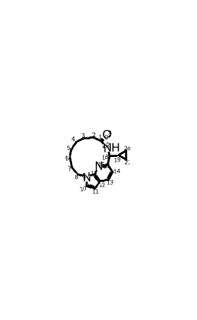 O=C1CCCCCCCn2ccc3ccc(nc32)C(C2CC2)N1